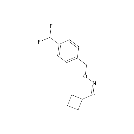 FC(F)c1ccc(CO/N=[C]\C2CCC2)cc1